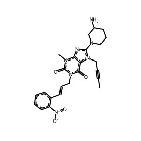 CC#CCn1c(N2CCCC(N)C2)nc2c1c(=O)n(CC=Cc1ccccc1[N+](=O)[O-])c(=O)n2C